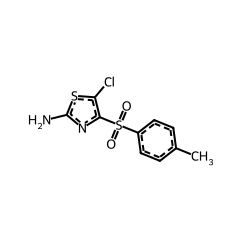 Cc1ccc(S(=O)(=O)c2nc(N)sc2Cl)cc1